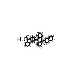 CC1(C)c2ccccc2-c2nc(-c3c4ccccc4c(-c4ccc5ccccc5c4)c4ccccc34)ccc21